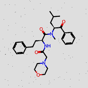 CC(C)C[C@@H](C(=O)c1[c]cccc1)N(C)C(=O)[C@H](CCc1ccccc1)NC(=O)CN1CCOCC1